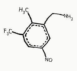 Cc1c(CN)cc(N=O)cc1C(F)(F)F